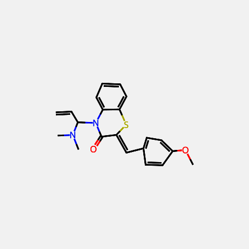 C=CC(N(C)C)N1C(=O)/C(=C/c2ccc(OC)cc2)Sc2ccccc21